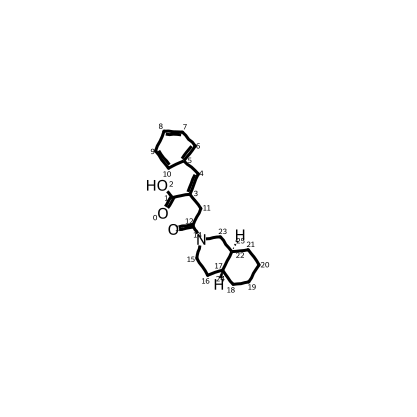 O=C(O)C(=Cc1ccccc1)CC(=O)N1CC[C@H]2CCCC[C@@H]2C1